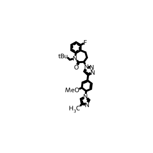 COC1C=C(c2cn(C3CCc4c(F)cccc4N(CC(C)(C)C)C3=O)nn2)C=CC1n1cnc(C)c1